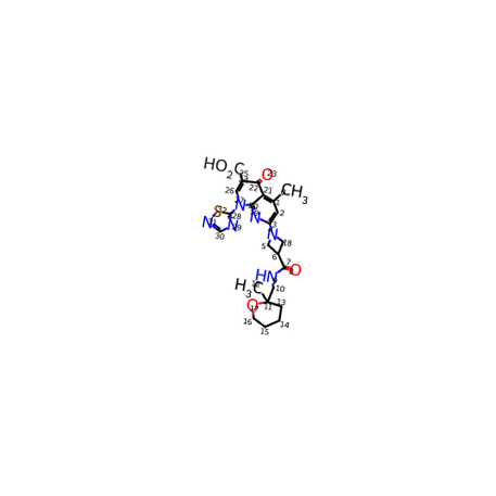 Cc1cc(N2CC(C(=O)NCC3(C)CCCCO3)C2)nc2c1c(=O)c(C(=O)O)cn2-c1ncns1